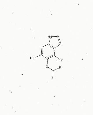 Cc1cc2[nH]ncc2c(Br)c1OC(F)F